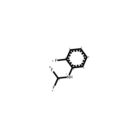 Fc1ccccc1NC(F)F